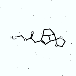 CCOC(=O)CC1=CC2C3C1CCC3C21OCCO1